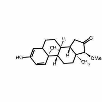 CO[C@@H]1C(=O)C[C@H]2[C@@H]3CCC4C=C(O)C=C[C@]4(C)[C@H]3CC[C@]12C